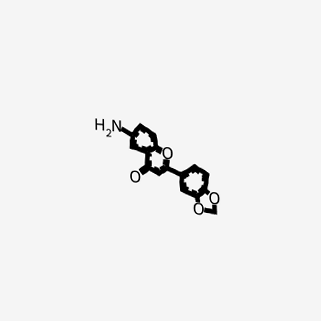 Nc1ccc2oc(-c3ccc4c(c3)OCO4)cc(=O)c2c1